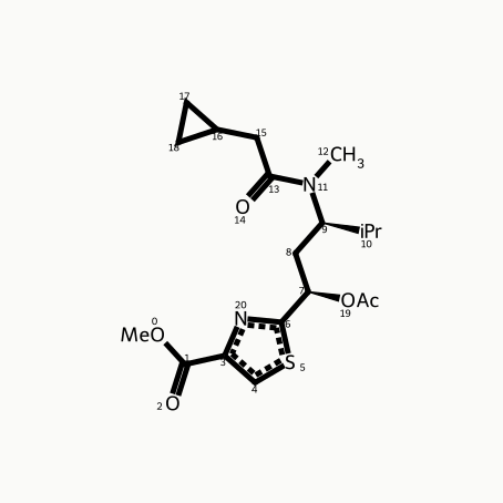 COC(=O)c1csc([C@@H](C[C@H](C(C)C)N(C)C(=O)CC2CC2)OC(C)=O)n1